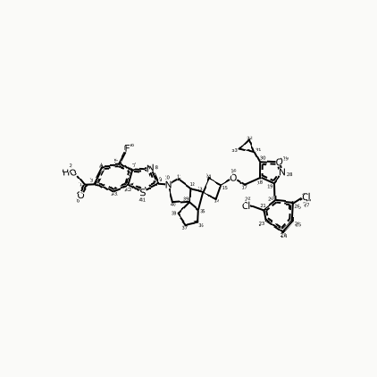 O=C(O)c1cc(F)c2nc(N3CC4C5(CC(OCc6c(-c7c(Cl)cccc7Cl)noc6C6CC6)C5)C5CCCC54C3)sc2c1